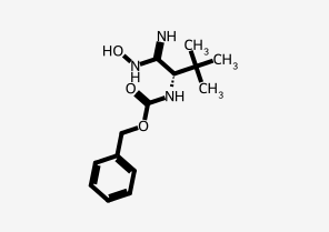 CC(C)(C)[C@H](NC(=O)OCc1ccccc1)C(=N)NO